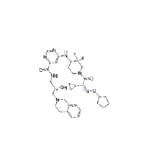 O=C(NC[C@H](O)CN1CCc2ccccc2C1)c1cc(NC2CCN(C(=O)/C(=N\OC3CCCC3)C3CC3)CC2(F)F)ncn1